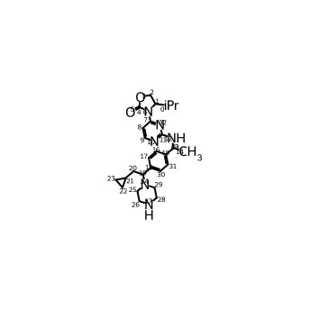 CC(C)C1COC(=O)N1c1ccnc(N[C@@H](C)c2ccc(C(CC3CC3)N3CCNCC3)cc2)n1